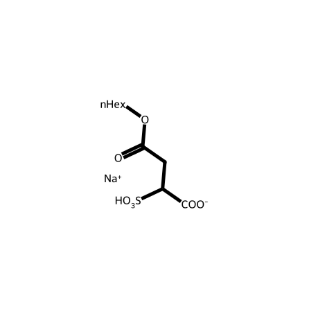 CCCCCCOC(=O)CC(C(=O)[O-])S(=O)(=O)O.[Na+]